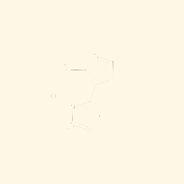 Cc1nc(C)c(C2CC=NN2C=O)s1